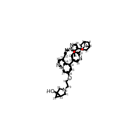 Cc1c(CN2C3CC2CN(c2ccc(-c4cc(OCCN5CC6CC6(O)C5)cn5ncc(C#N)c45)cn2)C3)cnn1C